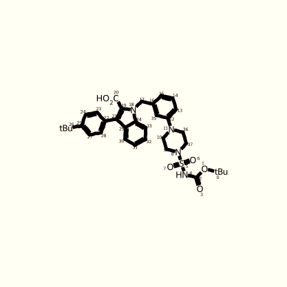 CC(C)(C)OC(=O)NS(=O)(=O)N1CCN(c2cccc(Cn3c(C(=O)O)c(-c4ccc(C(C)(C)C)cc4)c4ccccc43)c2)CC1